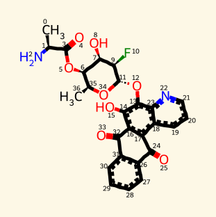 C[C@H](N)C(=O)O[C@H]1[C@@H](O)[C@@H](F)[C@H](Oc2c(O)c3c(c4cccnc24)C(=O)c2ccccc2C3=O)O[C@H]1C